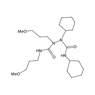 COCCCNC(=O)N(CCCOC)N(C(=O)NC1CCCCC1)C1CCCCC1